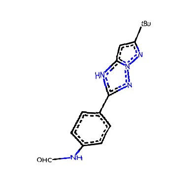 CC(C)(C)c1cc2[nH]c(-c3ccc(NC=O)cc3)nn2n1